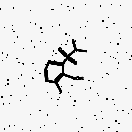 CCCCCCCCc1c(C)cccc1S(=O)(=O)N(C)C